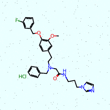 COc1cc(CCN(CC(=O)NCCCn2ccnc2)Cc2ccccc2)ccc1OCc1cccc(F)c1.Cl